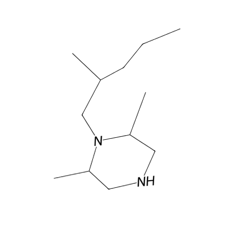 CCCC(C)CN1C(C)CNCC1C